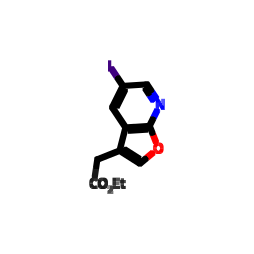 CCOC(=O)Cc1coc2ncc(I)cc12